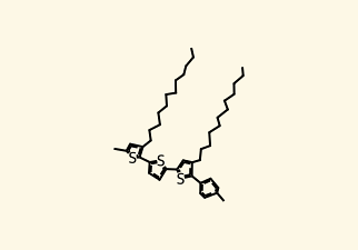 CCCCCCCCCCCCc1cc(-c2ccc(-c3sc(C)cc3CCCCCCCCCCCC)s2)sc1-c1ccc(C)cc1